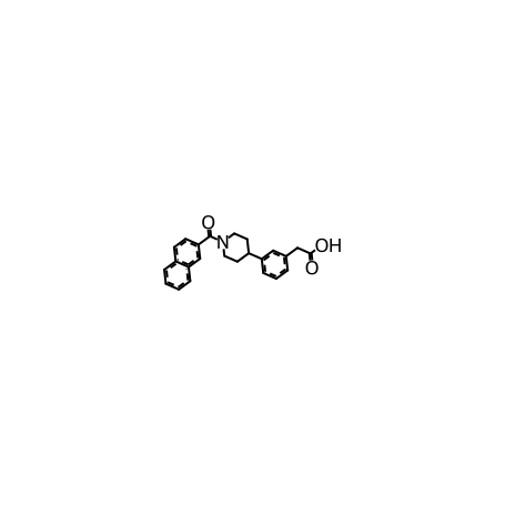 O=C(O)Cc1cccc(C2CCN(C(=O)c3ccc4ccccc4c3)CC2)c1